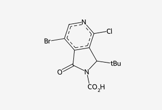 CC(C)(C)C1c2c(Cl)ncc(Br)c2C(=O)N1C(=O)O